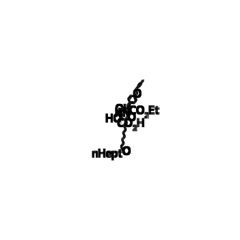 CC#CCOc1ccc(C[C@H](NC(=O)[C@@H](/C=C/CCCCCCC(=O)CCCCCCC)[C@@](O)(CCO)C(=O)O)C(=O)OCC)cc1